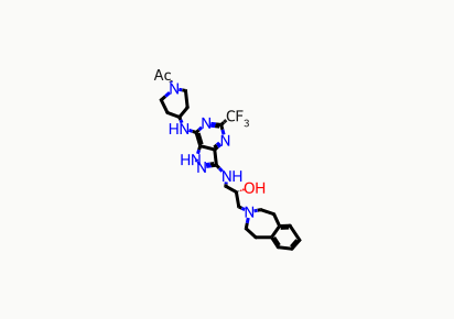 CC(=O)N1CCC(Nc2nc(C(F)(F)F)nc3c(NC[C@H](O)CN4CCc5ccccc5CC4)n[nH]c23)CC1